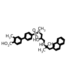 Cc1cc(-c2ccc(S(=O)(=O)N(C)CC(O)CNC(C)(C)Cc3ccc4ccccc4c3)cc2)ccc1C(=O)O